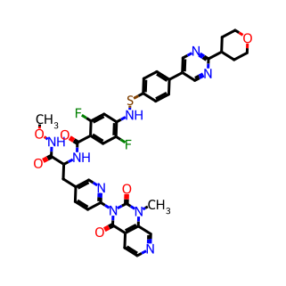 CONC(=O)C(Cc1ccc(-n2c(=O)c3ccncc3n(C)c2=O)nc1)NC(=O)c1cc(F)c(NSc2ccc(-c3cnc(C4CCOCC4)nc3)cc2)cc1F